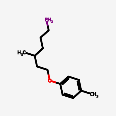 Cc1ccc(OCCC(C)CCCP)cc1